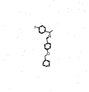 CC(N=Cc1ccc(OCc2ccccc2)cc1)c1ccc(F)cc1